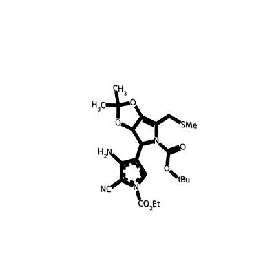 CCOC(=O)n1cc(C2C3OC(C)(C)OC3=C(CSC)N2C(=O)OC(C)(C)C)c(N)c1C#N